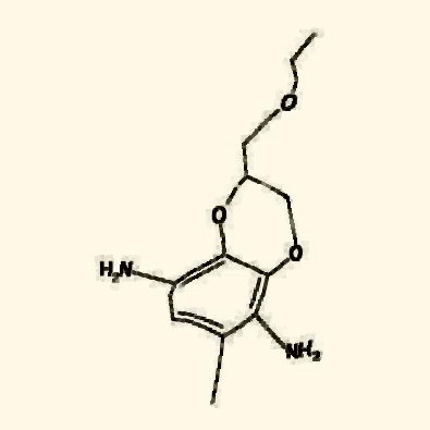 CCOCC1COc2c(N)c(C)cc(N)c2O1